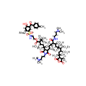 CCOC(=O)C(C(CC(C)(C)C1C(=O)OC(=O)C1C)C(=O)O)C(C)(C)CC(C(=O)O)C(C(=O)NCCCN(C)C)C(C)(C)CCC1C(=O)N(CCCN(C)C)C(=O)C1C(C)(C)CC(C(=O)O)C(C(=O)OCCNS(=O)(=O)c1cc(C(=O)c2ccc(C)cc2)c(O)cc1OC)C(C)(C)CC